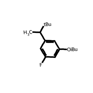 CC(C)COc1cc(F)cc(C(C)C(C)(C)C)c1